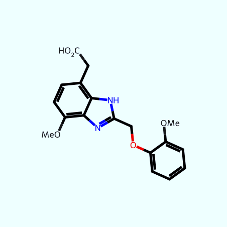 COc1ccccc1OCc1nc2c(OC)ccc(CC(=O)O)c2[nH]1